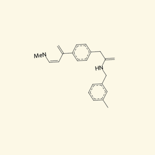 C=C(Cc1ccc(C(=C)/C=C\NC)cc1)NCc1cccc(C)c1